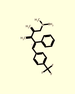 BN(C)CC(=C)C(=C)/C(=C/c1ccc(C(F)(F)F)cc1)c1ccccc1